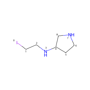 ICCNC1CCNC1